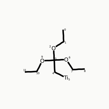 CCOC([CH2][Ti])(OCC)OCC